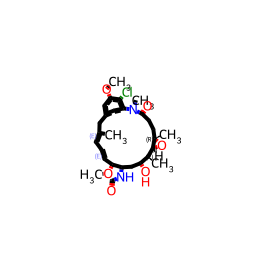 COc1cc2cc(c1Cl)N(C)C(=O)CC[C@@]1(C)O[C@H]1[C@H](C)C(O)CC(NC=O)C(OC)/C=C/C=C(\C)C2